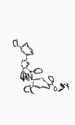 O=C(O)c1ccc(Cl)c(NC(=O)c2cc(-c3cccc(Cl)c3)ccc2Cl)c1